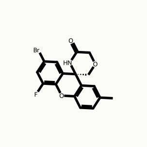 Cc1ccc2c(c1)[C@@]1(COCC(=O)N1)c1cc(Br)cc(F)c1O2